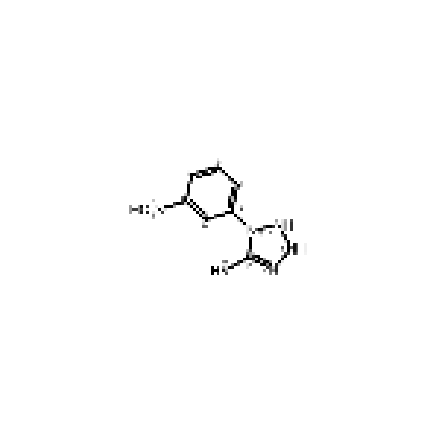 O=S(=O)(O)c1cccc(N2NNN=C2S)c1